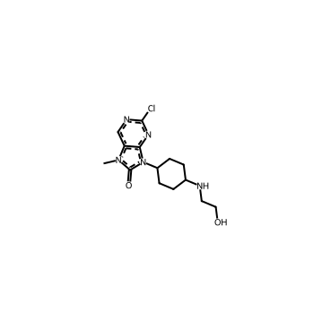 Cn1c(=O)n(C2CCC(NCCO)CC2)c2nc(Cl)ncc21